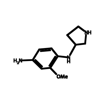 COc1cc(N)ccc1NC1CCNC1